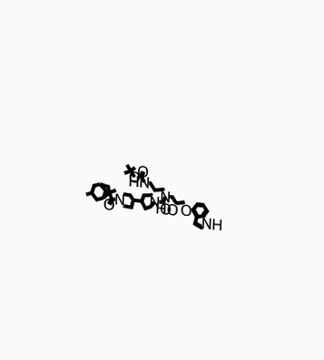 CC1CC2CC(C1)C(C)(C(=O)N1CCC(C3CCN(C(=O)N(CCCNC(=O)OC(C)(C)C)CC(O)COc4cccc5[nH]ccc45)CC3)CC1)C2